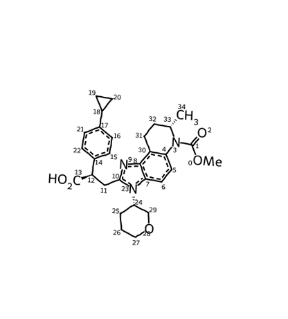 COC(=O)N1c2ccc3c(nc(C[C@@H](C(=O)O)c4ccc(C5CC5)cc4)n3[C@H]3CCCOC3)c2CC[C@@H]1C